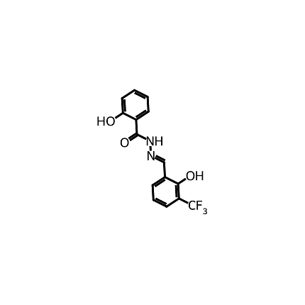 O=C(N/N=C/c1cccc(C(F)(F)F)c1O)c1ccccc1O